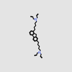 C=CCN(CC=C)CCCCCc1ccc2c(c1)Cc1c(CCCCCN(CC=C)CC=C)cccc1-2